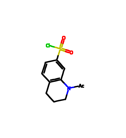 CC(=O)N1CCCc2ccc(S(=O)(=O)Cl)cc21